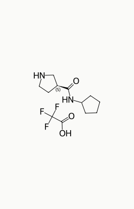 O=C(NC1CCCC1)[C@H]1CCNC1.O=C(O)C(F)(F)F